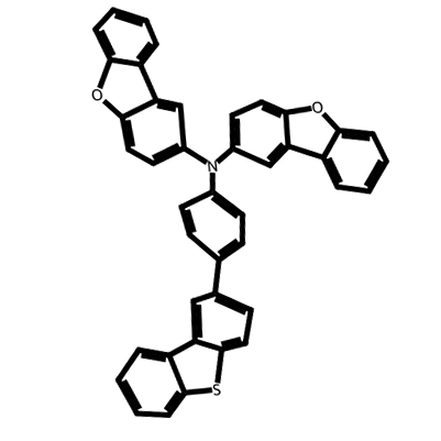 c1ccc2c(c1)oc1ccc(N(c3ccc(-c4ccc5sc6ccccc6c5c4)cc3)c3ccc4oc5ccccc5c4c3)cc12